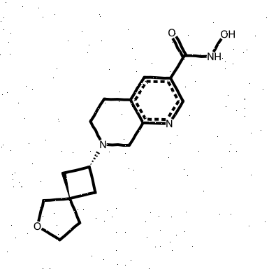 O=C(NO)c1cnc2c(c1)CCN([C@H]1C[C@]3(CCOC3)C1)C2